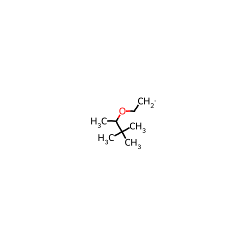 [CH2]COC(C)C(C)(C)C